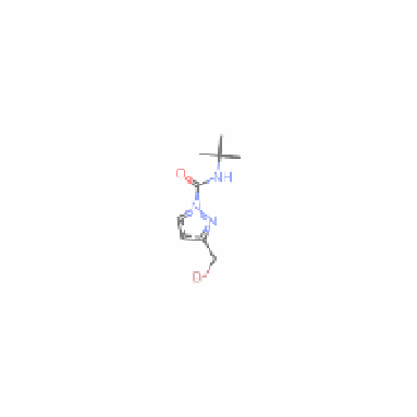 CC(C)(C)NC(=O)n1ccc(CBr)n1